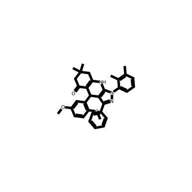 COc1ccc(OC)c(C2C3=C(CC(C)(C)CC3=O)Nc3c2c(-c2ccccc2)nn3-c2cccc(C)c2C)c1